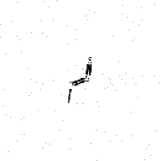 CP=S=S